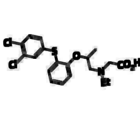 CCN(CC(=O)O)CC(C)Oc1ccccc1Sc1ccc(Cl)c(Cl)c1